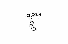 Cc1cc(CCC(Cl)C(=O)O)ccc1-c1ccccc1